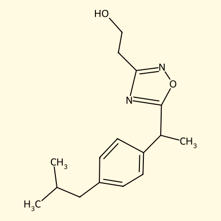 CC(C)Cc1ccc(C(C)c2nc(CCO)no2)cc1